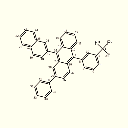 FC(F)(F)c1cccc(-c2c3ccccc3c(-c3ccc4ccccc4c3)c3cc(-c4ccccc4)ccc23)c1